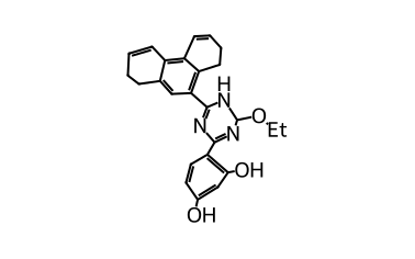 CCOC1N=C(c2ccc(O)cc2O)N=C(c2cc3c(c4c2CCC=C4)C=CCC3)N1